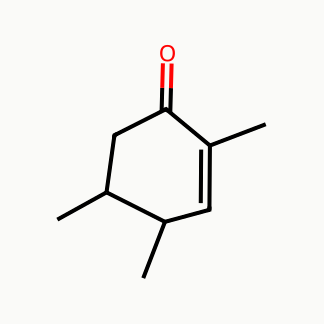 CC1=CC(C)C(C)CC1=O